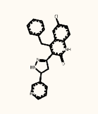 O=c1[nH]c2ccc(Cl)cc2c(Cc2ccccc2)c1C1=NNC(c2cccnc2)C1